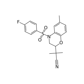 Cc1ccc2c(c1)N(S(=O)(=O)c1ccc(F)cc1)CC(C(C)(C)C#N)O2